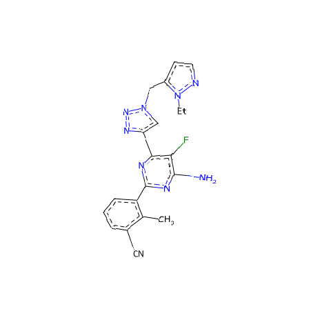 CCn1nccc1Cn1cc(-c2nc(-c3cccc(C#N)c3C)nc(N)c2F)nn1